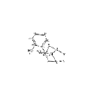 O=C1CC2CCC(C1)N2Cc1ccccc1O